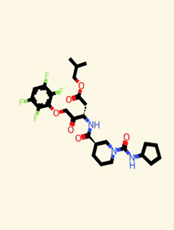 CC(C)COC(=O)C[C@H](NC(=O)[C@@H]1CCCN(C(=O)NC2CCCC2)C1)C(=O)COc1c(F)c(F)cc(F)c1F